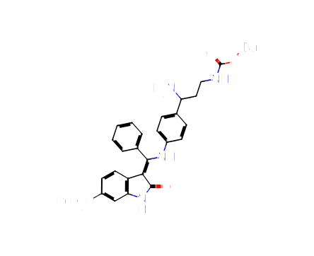 CCOC(=O)c1ccc2c(c1)NC(=O)/C2=C(\Nc1ccc(C(N)CCNC(=O)OC(C)(C)C)cc1)c1ccccc1